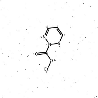 CCOC(=O)N1N=CC=CS1